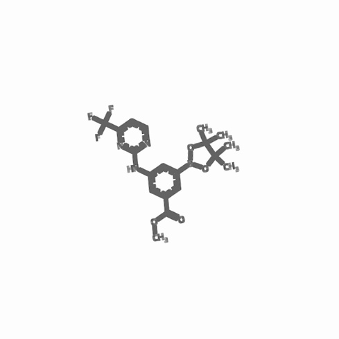 COC(=O)c1cc(Nc2nccc(C(F)(F)F)n2)cc(B2OC(C)(C)C(C)(C)O2)c1